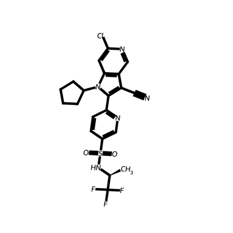 C[C@H](NS(=O)(=O)c1ccc(-c2c(C#N)c3cnc(Cl)cc3n2C2CCCC2)nc1)C(F)(F)F